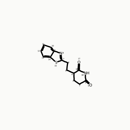 O=C1CCC(CCc2nc3ccccc3s2)C(=O)N1